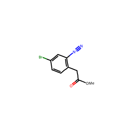 COC(=O)Cc1ccc(Br)cc1[N+]#N